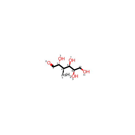 O=C[C@H](O)[C@H]([AsH2])[C@@H](O)[C@H](O)CO